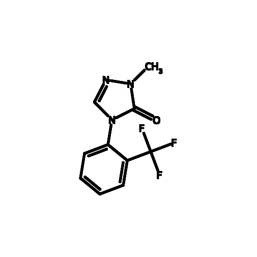 Cn1ncn(-c2ccccc2C(F)(F)F)c1=O